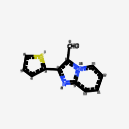 O=Cc1c(-c2cccs2)nc2ccccn12